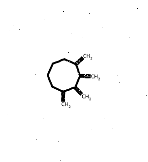 C=C1CCCCC(=C)C(=C)C1=C